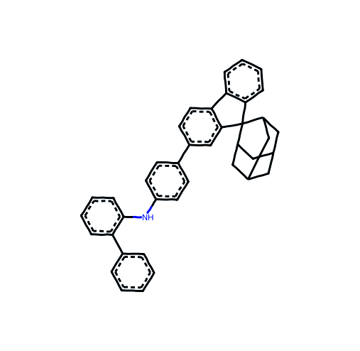 c1ccc(-c2ccccc2Nc2ccc(-c3ccc4c(c3)C3(c5ccccc5-4)C4CC5CC(C4)CC3C5)cc2)cc1